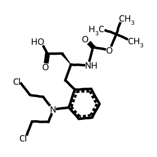 CC(C)(C)OC(=O)N[C@H](CC(=O)O)Cc1ccccc1N(CCCl)CCCl